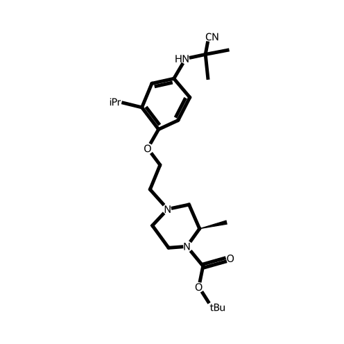 CC(C)c1cc(NC(C)(C)C#N)ccc1OCCN1CCN(C(=O)OC(C)(C)C)[C@H](C)C1